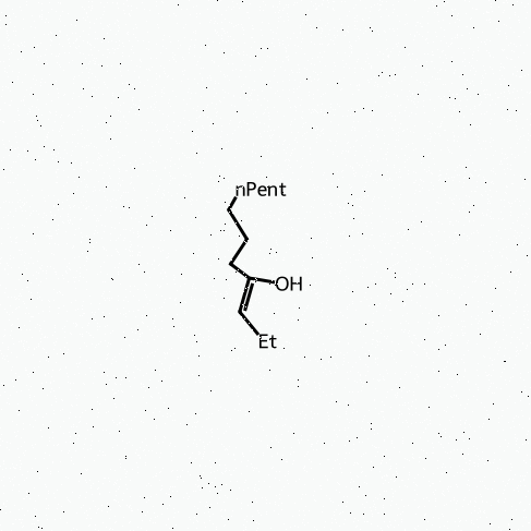 CC/C=C(\O)CCCCCCCC